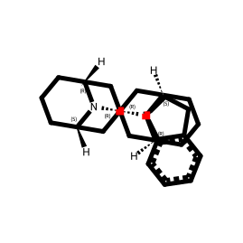 c1ccc2c(c1)CCN2[C@H]1C[C@H]2CCC[C@@H](C1)N2[C@H]1C[C@@H]2CCC[C@@H](C2)C1